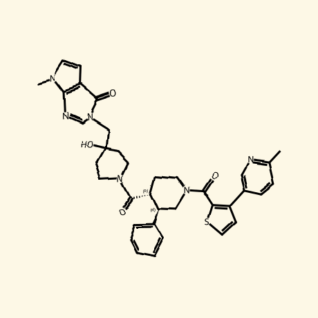 Cc1ccc(-c2ccsc2C(=O)N2CC[C@@H](C(=O)N3CCC(O)(Cn4cnc5c(ccn5C)c4=O)CC3)[C@H](c3ccccc3)C2)cn1